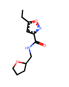 CCc1cc(C(=O)NCC2CCCO2)no1